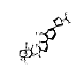 CN(c1ccc(-c2ccc(-c3ccn(C(F)F)c3)cc2O)nn1)[C@H]1C[C@@H]2CC[C@@H](C2)[C@H]1F